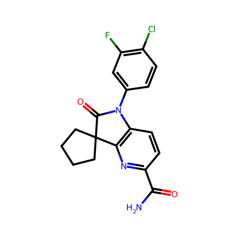 NC(=O)c1ccc2c(n1)C1(CCCC1)C(=O)N2c1ccc(Cl)c(F)c1